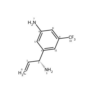 C=C[C@@H](N)c1cc(N)cc(C(F)(F)F)c1